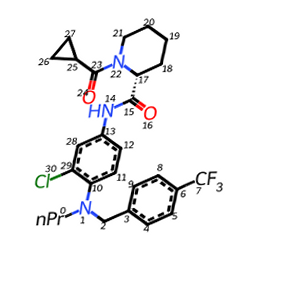 CCCN(Cc1ccc(C(F)(F)F)cc1)c1ccc(NC(=O)[C@H]2CCCCN2C(=O)C2CC2)cc1Cl